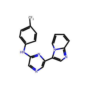 FC(F)(F)c1ccc(Nc2cncc(-c3cnc4ccccn34)n2)cc1